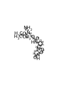 CC(C)(C)OC(=O)N(CCN)CCOCC(=O)Nc1cccc2c1CN(C1CCC(=O)NC1=O)C2=O